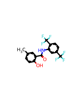 Cc1ccc(O)c(C(=O)Nc2cc(C(F)(F)F)ccc2C(F)(F)F)c1